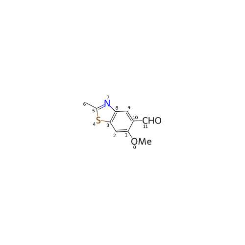 COc1cc2sc(C)nc2cc1C=O